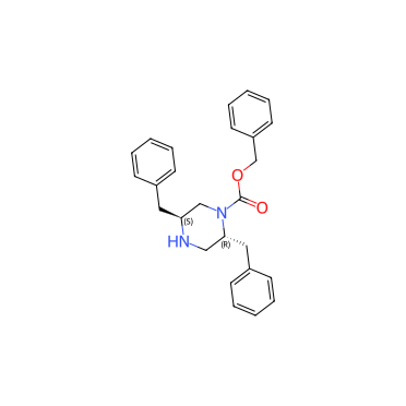 O=C(OCc1ccccc1)N1C[C@H](Cc2ccccc2)NC[C@H]1Cc1ccccc1